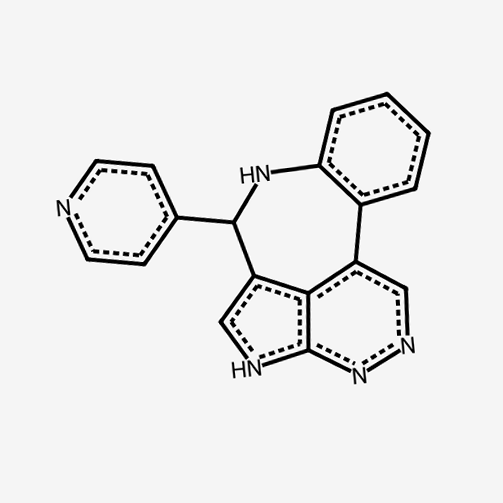 c1ccc2c(c1)NC(c1ccncc1)c1c[nH]c3nncc-2c13